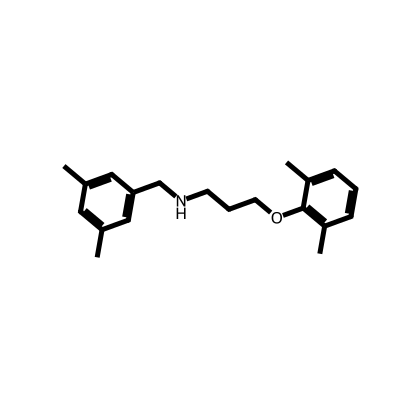 Cc1cc(C)cc(CNCCCOc2c(C)cccc2C)c1